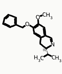 COc1cc2c(cc1OCc1ccccc1)C[C@@H](C(C)C)N=C2